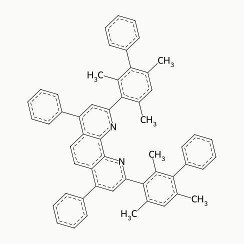 Cc1cc(C)c(-c2cc(-c3ccccc3)c3ccc4c(-c5ccccc5)cc(-c5c(C)cc(C)c(-c6ccccc6)c5C)nc4c3n2)c(C)c1-c1ccccc1